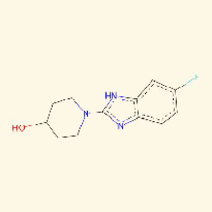 OC1CCN(c2nc3ccc(F)cc3[nH]2)CC1